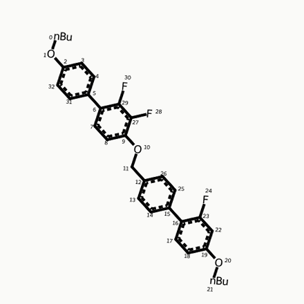 CCCCOc1ccc(-c2ccc(OCc3ccc(-c4ccc(OCCCC)cc4F)cc3)c(F)c2F)cc1